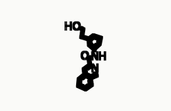 O=C(Nc1cccc(CCO)c1)c1cc2ccccc2cn1